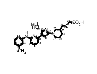 Cc1ccnc(Nc2cccc(-c3cnc(N4CCCC(COCC(=O)O)C4)s3)n2)c1.Cl.Cl